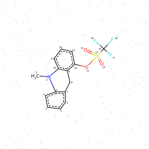 CN1c2ccccc2Cc2c(OS(=O)(=O)C(F)(F)F)cccc21